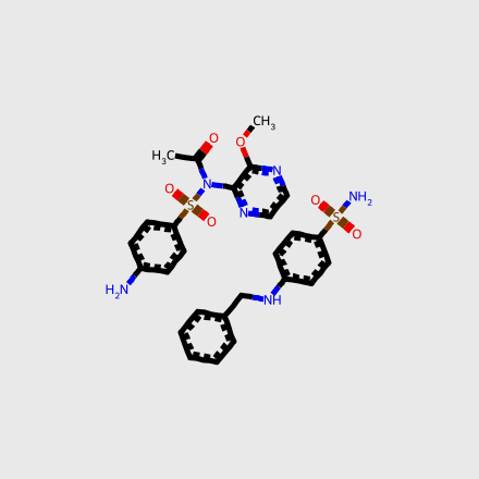 COc1nccnc1N(C(C)=O)S(=O)(=O)c1ccc(N)cc1.NS(=O)(=O)c1ccc(NCc2ccccc2)cc1